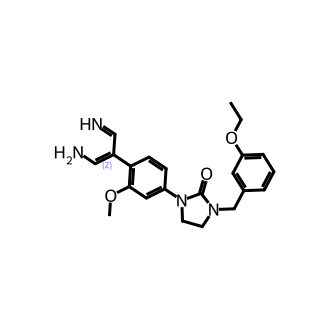 CCOc1cccc(CN2CCN(c3ccc(/C(C=N)=C/N)c(OC)c3)C2=O)c1